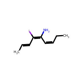 C/C=C/C(I)=C(N)\C=C/CC